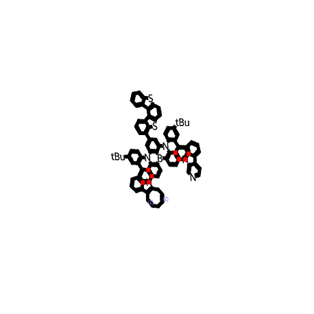 CC(C)(C)c1ccc(N2c3cc(-n4c5c(c6ccccc64)/C=C\C/C=C\C5)ccc3B3c4ccc(-n5c6ccccc6c6ccncc65)cc4N(c4ccc(C(C)(C)C)cc4-c4ccccc4)c4cc(-c5cccc6c5sc5ccc7sc8ccccc8c7c56)cc2c43)c(-c2ccccc2)c1